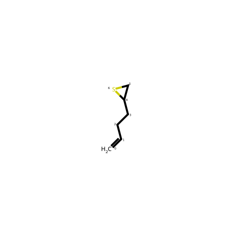 C=CCCC1CS1